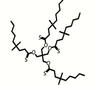 CCCCCC(C)(C)CCC(=S)OCC(COC(=S)CCC(C)(C)CCCCC)(COC(=S)CCC(C)(C)CCCCC)COC(=S)CCC(C)(C)CCCCC